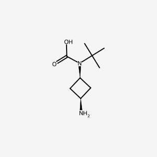 CC(C)(C)N(C(=O)O)[C@H]1C[C@@H](N)C1